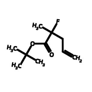 C=CCC(C)(F)C(=O)OC(C)(C)C